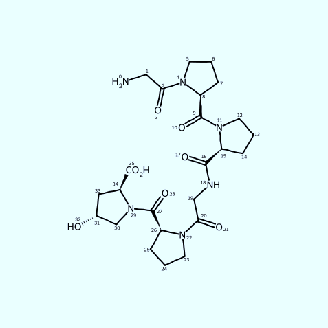 NCC(=O)N1CCC[C@H]1C(=O)N1CCC[C@H]1C(=O)NCC(=O)N1CCC[C@H]1C(=O)N1C[C@H](O)C[C@H]1C(=O)O